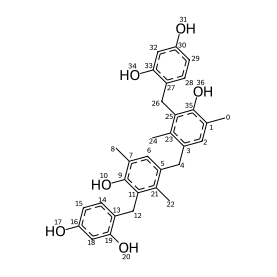 Cc1cc(Cc2cc(C)c(O)c(Cc3ccc(O)cc3O)c2C)c(C)c(Cc2ccc(O)cc2O)c1O